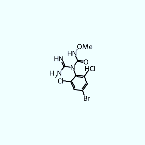 CONC(=O)N(C(=N)N)c1c(C)cc(Br)cc1Cl.Cl